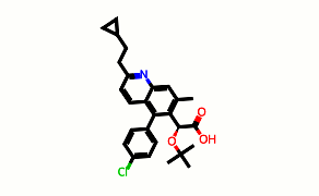 Cc1cc2nc(CCC3CC3)ccc2c(-c2ccc(Cl)cc2)c1[C@H](OC(C)(C)C)C(=O)O